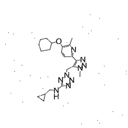 Cc1nc(-c2nnn(C)c2Cn2nnc(NCC3CC3)n2)ccc1OC1CCCCC1